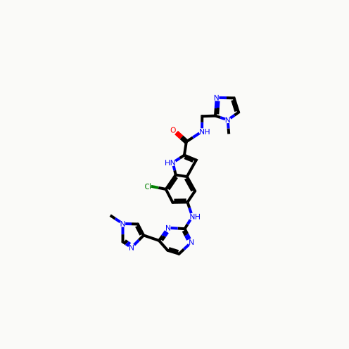 Cn1cnc(-c2ccnc(Nc3cc(Cl)c4[nH]c(C(=O)NCc5nccn5C)cc4c3)n2)c1